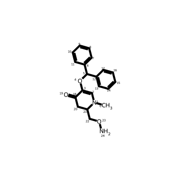 CN1C=C(OC(c2ccccc2)c2ccccc2)C(=O)CC1CON